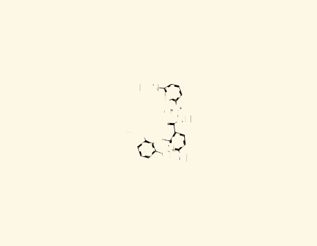 Cc1cccc(C)c1Oc1nc(Cl)ccc1C(=O)NS(=O)(=O)c1cccc(N)n1